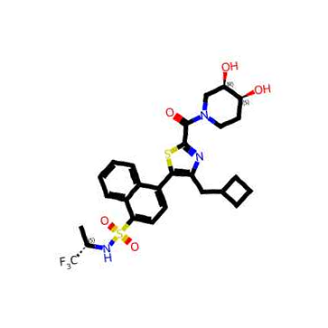 C[C@H](NS(=O)(=O)c1ccc(-c2sc(C(=O)N3CC[C@H](O)[C@H](O)C3)nc2CC2CCC2)c2ccccc12)C(F)(F)F